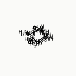 CC(C)[C@@H]1NC(=O)N([C@H]2CSSC[C@@H](C(N)=O)NC(=O)[C@H](Cc3c[nH]c4ccccc34)NC(=O)[C@H](CCCNC(=N)N)NC(=O)[C@@H](Cc3ccccc3)NC(=O)[C@H](Cc3cnc[nH]3)NC(=O)[C@@H](C)NC2=O)C1=O